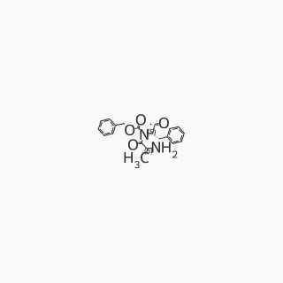 C[C@H](N)C(=O)N(C(=O)OCc1ccccc1)[C@H]([C]=O)Cc1ccccc1